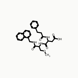 COCC(NC(=O)C(CC(=O)O)NC(=O)CCc1ccccc1)C(=O)NCc1cccc2ccccc12